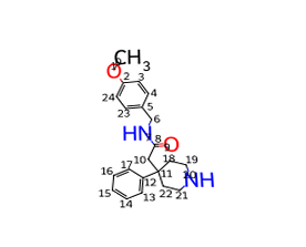 COc1ccc(CNC(=O)CC2(c3ccccc3)CCNCC2)cc1